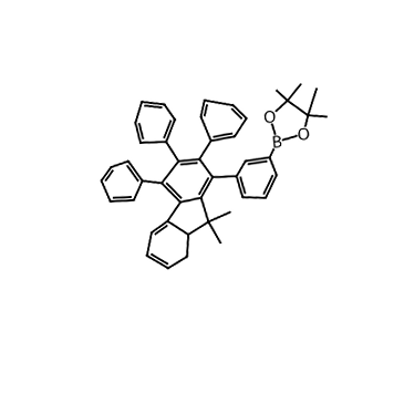 CC1(C)c2c(c(-c3ccccc3)c(-c3ccccc3)c(-c3ccccc3)c2-c2cccc(B3OC(C)(C)C(C)(C)O3)c2)C2=CC=CCC21